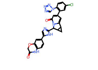 O=C1COc2cc(-c3cnc(C4C5CC5c5cc(-c6cc(Cl)ccc6-n6cnnn6)cc(=O)n54)[nH]3)ccc2N1